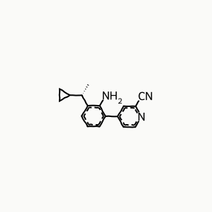 C[C@H](c1cccc(-c2ccnc(C#N)c2)c1N)C1CC1